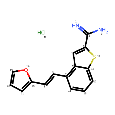 Cl.N=C(N)c1cc2c(C=Cc3ccco3)cccc2s1